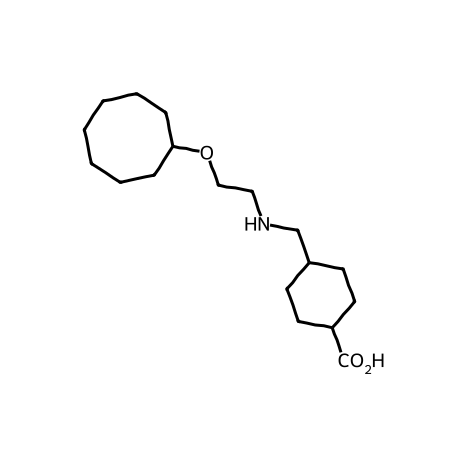 O=C(O)C1CCC(CNCCOC2CCCCCCC2)CC1